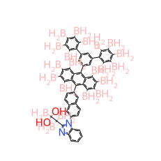 Bc1c(B)c(B)c(-c2cc(-c3c(B)c(B)c(B)c(B)c3B)cc(-c3c4c(B)c(B)c(B)c(B)c4c(-c4ccc5cc(-n6c(C(B)(B)C(B)(O)O)nc7ccccc76)ccc5c4)c4c(B)c(B)c(B)c(B)c34)c2)c(B)c1B